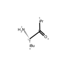 CC[C@@H](C)[C@H](N)C(=O)C(C)C